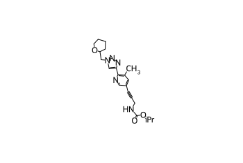 Cc1cc(C#CCNC(=O)OC(C)C)cnc1-c1cn(CC2CCCCO2)nn1